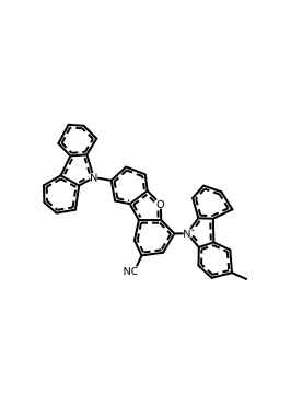 Cc1ccc2c(c1)c1ccccc1n2-c1cc(C#N)cc2c1oc1ccc(-n3c4ccccc4c4ccccc43)cc12